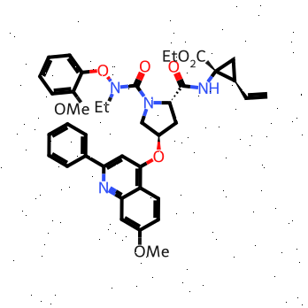 C=C[C@@H]1C[C@]1(NC(=O)[C@@H]1C[C@@H](Oc2cc(-c3ccccc3)nc3cc(OC)ccc23)CN1C(=O)N(CC)Oc1ccccc1OC)C(=O)OCC